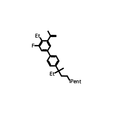 C=C(C)c1cc(-c2ccc(C(C)(CC)CCC(C)CCC)cc2)cc(F)c1CC